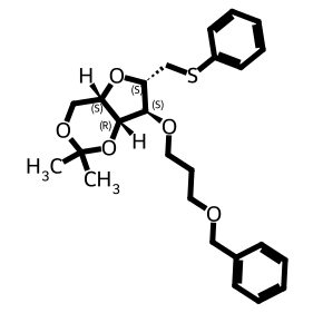 CC1(C)OC[C@@H]2O[C@H](CSc3ccccc3)[C@@H](OCCCOCc3ccccc3)[C@@H]2O1